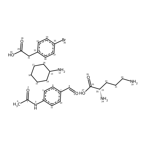 CC(=O)Nc1ccc(C=O)cc1.NC1CCCCC1.NCCC[C@H](N)C(=O)O.O=C(O)Cc1ccc(Br)cc1